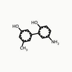 Cc1cc(O)cc(-c2cc(N)ccc2O)c1